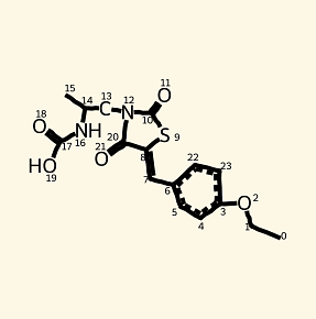 CCOc1ccc(/C=C2\SC(=O)N(CC(C)NC(=O)O)C2=O)cc1